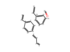 C=CC=C.C=Cc1ccccc1.C=Cc1ccccc1.C=O